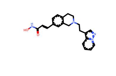 O=C(C=Cc1ccc2c(c1)CN(CCc1cnn3ccccc13)CC2)NO